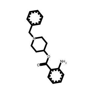 Nc1ccccc1C(=O)OC1CCN(Cc2ccccc2)CC1